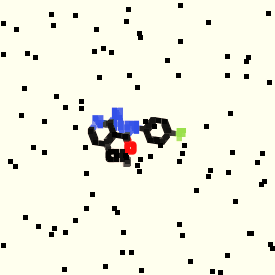 Cc1ccnc(N)c1C(=O)Nc1ccc(F)cc1